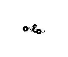 COc1ccc(C/C(=N/Nc2ccccc2)c2cccs2)cc1